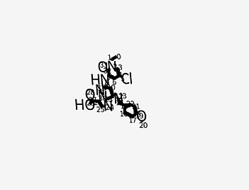 CCn1cc(Cl)cc(Nc2cc(N(C)Cc3ccc(OC)cc3)c3ncc(C(=O)O)n3n2)c1=O